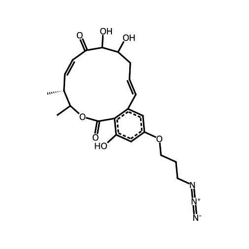 CC1OC(=O)c2c(O)cc(OCCCN=[N+]=[N-])cc2/C=C/CC(O)C(O)C(=O)/C=C\[C@H]1C